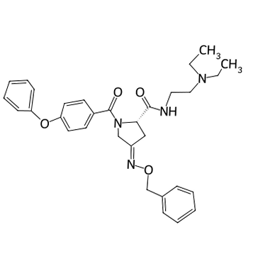 CCN(CC)CCNC(=O)[C@@H]1C/C(=N\OCc2ccccc2)CN1C(=O)c1ccc(Oc2ccccc2)cc1